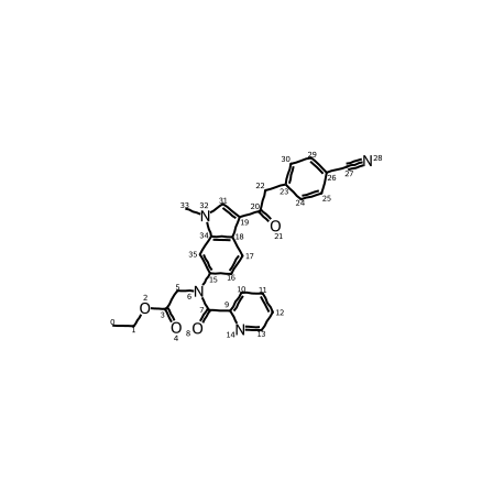 CCOC(=O)CN(C(=O)c1ccccn1)c1ccc2c(C(=O)Cc3ccc(C#N)cc3)cn(C)c2c1